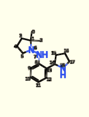 CC1(C)CCCN1Nc1ccccc1C1CCCN1